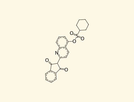 O=C1c2ccccc2C(=O)C1c1ccc2c(OS(=O)(=O)C3CCCCC3)cccc2n1